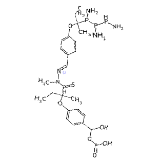 CCC(C)(Oc1ccc(/C=N/N(C)[PH](=S)C(C)(CC)Oc2ccc(C(O)O[PH](=O)O)cc2)cc1)P(N)P(N)PN